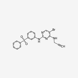 C#CCNc1nc(Nc2cccc(S(=O)(=O)c3ccccc3)c2)ncc1Br